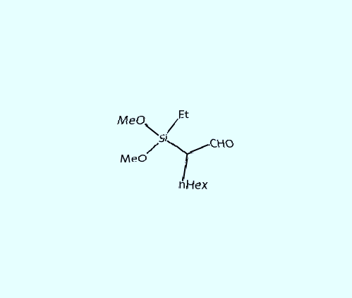 CCCCCCC(C=O)[Si](CC)(OC)OC